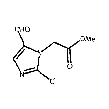 COC(=O)Cn1c(C=O)cnc1Cl